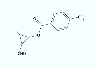 CC1C(C=O)C1OC(=O)c1ccc(C(F)(F)F)cc1